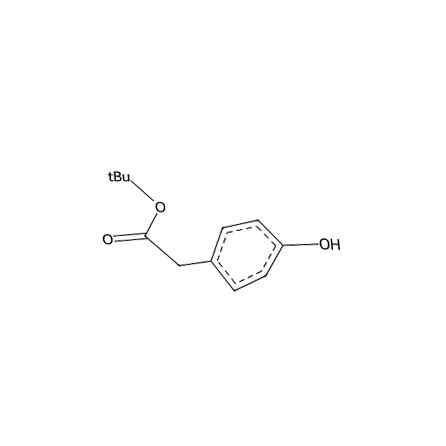 CC(C)(C)OC(=O)Cc1ccc(O)cc1